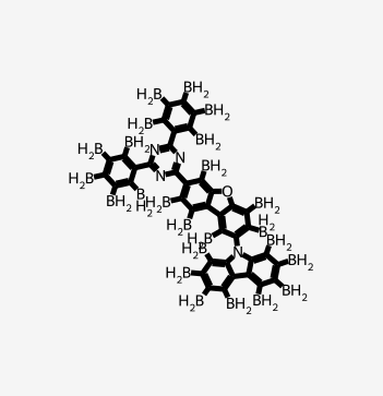 Bc1c(B)c(B)c(-c2nc(-c3c(B)c(B)c(B)c(B)c3B)nc(-c3c(B)c(B)c4c(oc5c(B)c(B)c(-n6c7c(B)c(B)c(B)c(B)c7c7c(B)c(B)c(B)c(B)c76)c(B)c54)c3B)n2)c(B)c1B